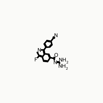 N#Cc1ccc(-c2ncc(F)c3ccc(C(=O)N=C(N)N)cc23)cc1